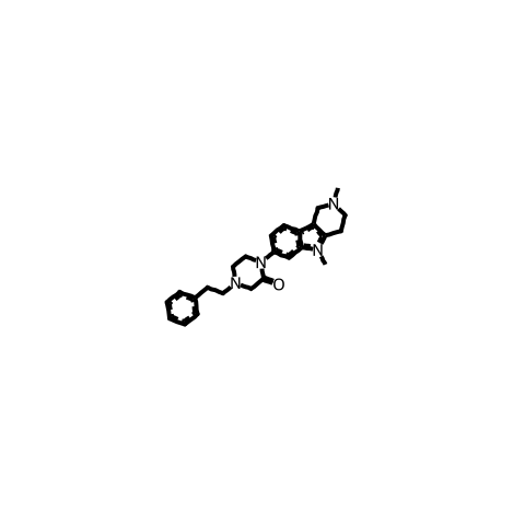 CN1CCc2c(c3ccc(N4CCN(CCc5ccccc5)CC4=O)cc3n2C)C1